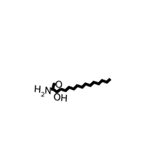 CCCCCCCCCCCCC1OCC(N)C1O